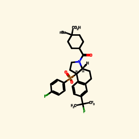 CCCCC1(C(=O)O)CCC(C(=O)N2CC[C@@]3(S(=O)(=O)c4ccc(F)cc4)c4ccc(C(F)(C(F)(F)F)C(F)(F)F)cc4CC[C@@H]23)CC1